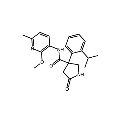 COc1nc(C)ccc1NC(=O)C1(c2ccccc2C(C)C)CNC(=O)C1